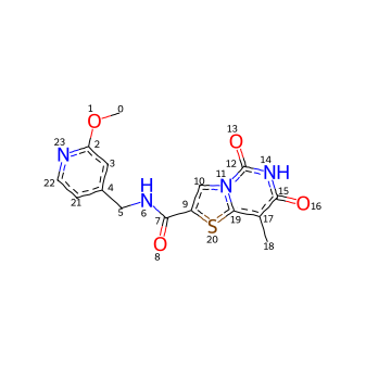 COc1cc(CNC(=O)c2cn3c(=O)[nH]c(=O)c(C)c3s2)ccn1